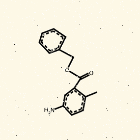 Cc1ccc(N)cc1C(=O)OCc1ccccc1